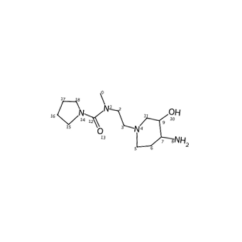 CN(CCN1CCC(N)C(O)C1)C(=O)N1CCCC1